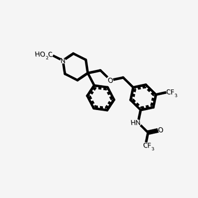 O=C(O)N1CCC(COCc2cc(NC(=O)C(F)(F)F)cc(C(F)(F)F)c2)(c2ccccc2)CC1